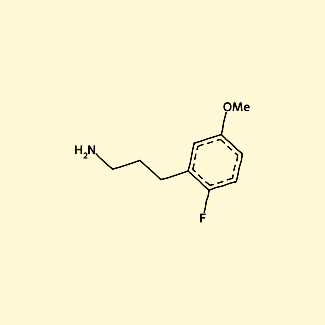 COc1ccc(F)c(CCCN)c1